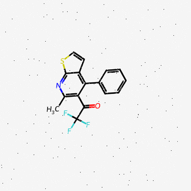 Cc1nc2sccc2c(-c2ccccc2)c1C(=O)C(F)(F)F